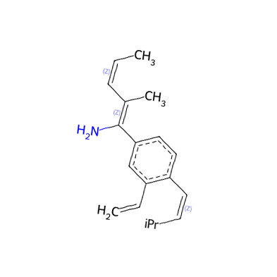 C=Cc1cc(/C(N)=C(C)/C=C\C)ccc1/C=C\C(C)C